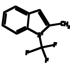 Cc1cc2ccccc2[s+]1C(F)(F)F